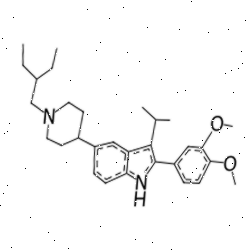 CCC(CC)CN1CCC(c2ccc3[nH]c(-c4ccc(OC)c(OC)c4)c(C(C)C)c3c2)CC1